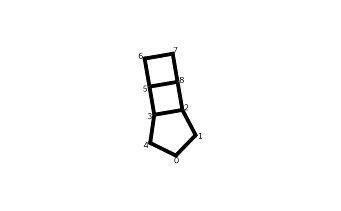 C1CC2C(C1)C1CCC21